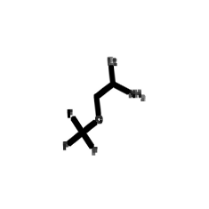 CCC(N)COC(F)(F)F